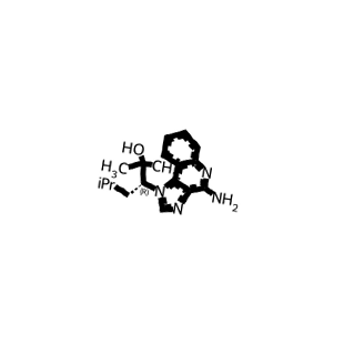 CC(C)C[C@@H](n1cnc2c(N)nc3ccccc3c21)C(C)(C)O